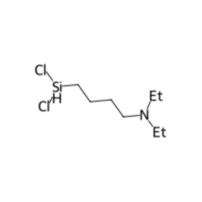 CCN(CC)CCCC[SiH](Cl)Cl